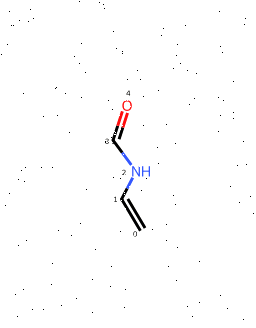 C=CN[C]=O